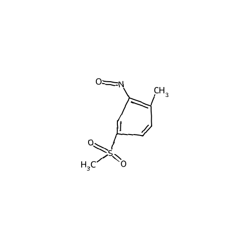 Cc1ccc(S(C)(=O)=O)cc1N=O